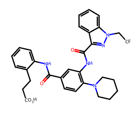 O=C(O)CCc1ccccc1NC(=O)c1ccc(N2CCCCC2)c(NC(=O)c2nn(CC(F)(F)F)c3ccccc23)c1